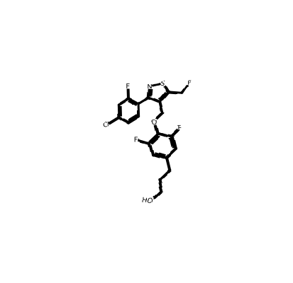 OCCCc1cc(F)c(OCc2c(-c3ccc(Cl)cc3F)nsc2CF)c(F)c1